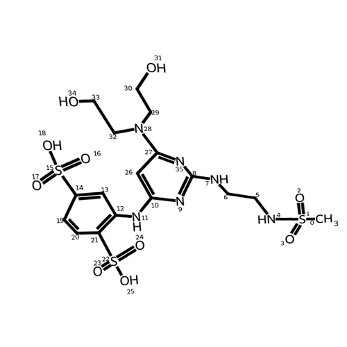 CS(=O)(=O)NCCNc1nc(Nc2cc(S(=O)(=O)O)ccc2S(=O)(=O)O)cc(N(CCO)CCO)n1